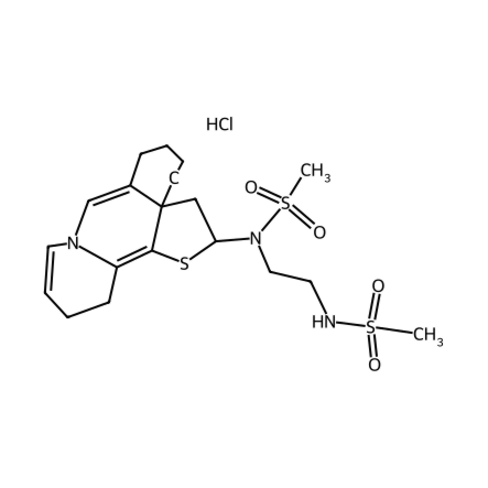 CS(=O)(=O)NCCN(C1CC23CCCCC2=CN2C=CCCC2=C3S1)S(C)(=O)=O.Cl